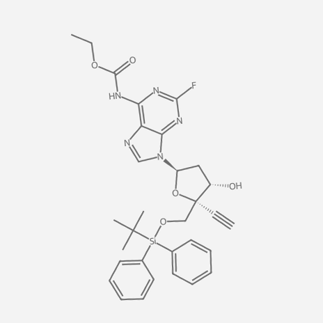 C#C[C@]1(CO[Si](c2ccccc2)(c2ccccc2)C(C)(C)C)O[C@@H](n2cnc3c(NC(=O)OCC)nc(F)nc32)C[C@@H]1O